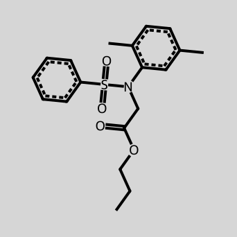 CCCOC(=O)CN(c1cc(C)ccc1C)S(=O)(=O)c1ccccc1